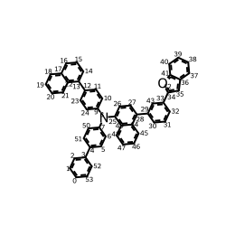 c1ccc(-c2ccc(N(c3ccc(-c4cccc5ccccc45)cc3)c3ccc(-c4cccc(-c5cc6ccccc6o5)c4)c4ccccc34)cc2)cc1